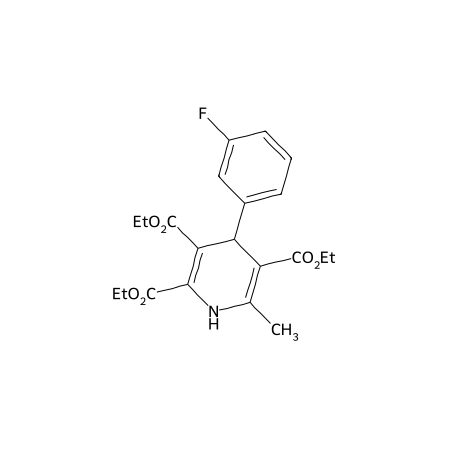 CCOC(=O)C1=C(C(=O)OCC)C(c2cccc(F)c2)C(C(=O)OCC)=C(C)N1